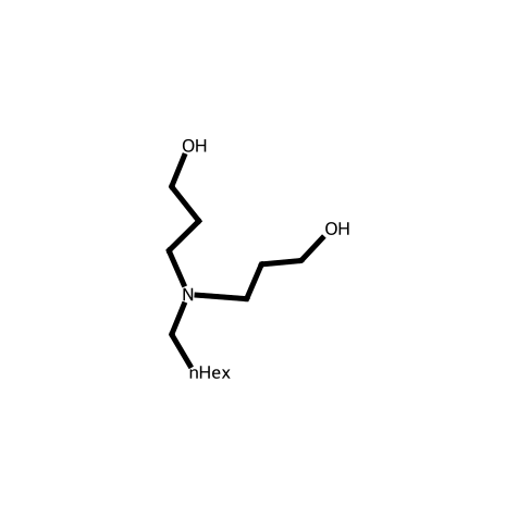 CCCCCCCN(CCCO)CCCO